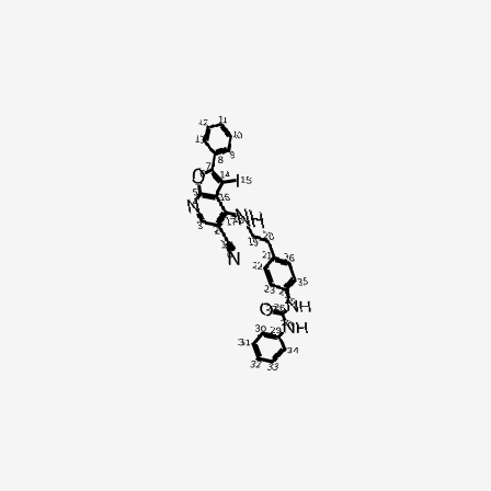 N#Cc1cnc2oc(-c3ccccc3)c(I)c2c1NCCc1ccc(NC(=O)Nc2ccccc2)cc1